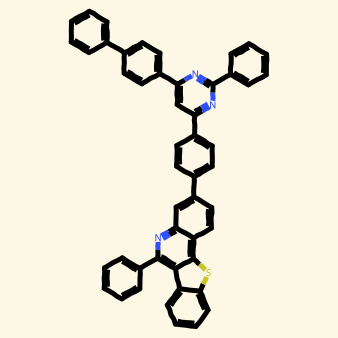 c1ccc(-c2ccc(-c3cc(-c4ccc(-c5ccc6c(c5)nc(-c5ccccc5)c5c7ccccc7sc65)cc4)nc(-c4ccccc4)n3)cc2)cc1